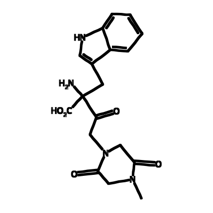 CN1CC(=O)N(CC(=O)C(N)(Cc2c[nH]c3ccccc23)C(=O)O)CC1=O